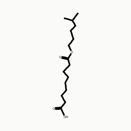 CC(C)CCCCOC(=O)CCCCCCCC(=O)O